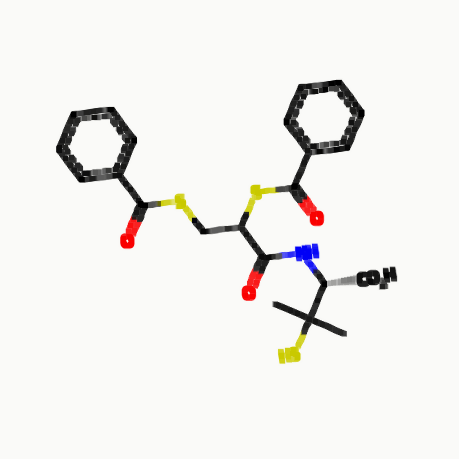 CC(C)(S)[C@H](NC(=O)C(CSC(=O)c1ccccc1)SC(=O)c1ccccc1)C(=O)O